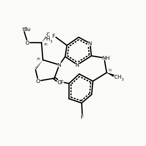 C[C@H](Nc1ncc(F)c(N2C(=O)OC[C@@H]2[C@@H](C)OC(C)(C)C)n1)c1cc(F)cc(F)c1